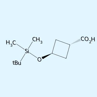 CC(C)(C)[Si](C)(C)O[C@H]1C[C@H](C(=O)O)C1